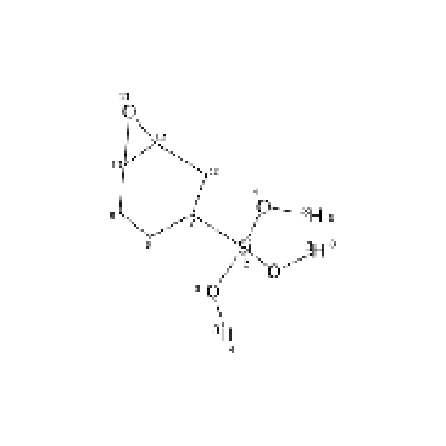 [3H]O[Si](O[3H])(O[3H])C1CCC2OC2C1